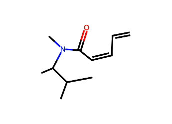 C=C/C=C\C(=O)N(C)C(C)C(C)C